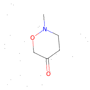 CN1CCC(=O)CO1